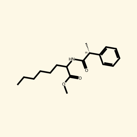 CCCCCCC(NC(=O)[C@H](C)c1ccccc1)C(=O)OC